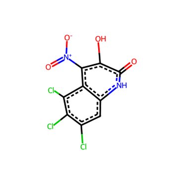 O=c1[nH]c2cc(Cl)c(Cl)c(Cl)c2c([N+](=O)[O-])c1O